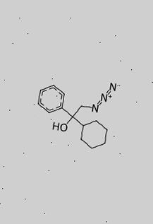 [N-]=[N+]=NCC(O)(c1ccccc1)C1CCCCC1